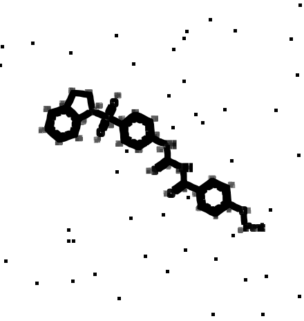 CCCC(C)Oc1ccc(C(=O)NC(=S)Nc2ccc(S(=O)(=O)N3CCc4ccccc43)cc2)cc1